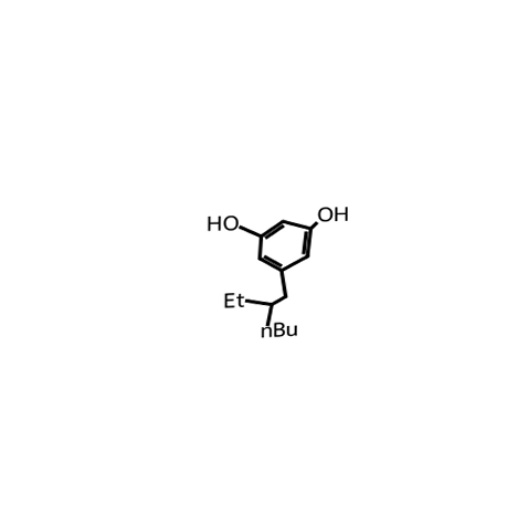 CCCCC(CC)Cc1cc(O)cc(O)c1